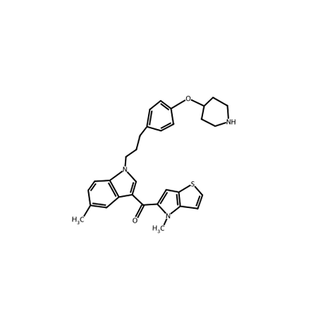 Cc1ccc2c(c1)c(C(=O)c1cc3sccc3n1C)cn2CCCc1ccc(OC2CCNCC2)cc1